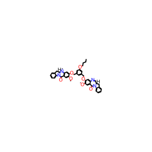 CCCCOc1cc(COc2cc3c(cc2OC)C(=O)N2c4ccccc4C[C@H]2C=N3)cc(COc2cc3c(cc2OC)C(=O)N2c4ccccc4C[C@H]2N3C)c1